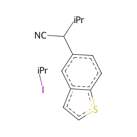 CC(C)C(C#N)c1ccc2sccc2c1.CC(C)I